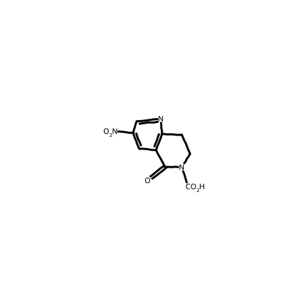 O=C(O)N1CCc2ncc([N+](=O)[O-])cc2C1=O